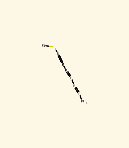 BB=BB=BB=BSCC